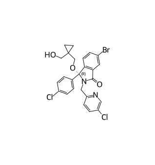 O=C1c2cc(Br)ccc2[C@](OCC2(CO)CC2)(c2ccc(Cl)cc2)N1Cc1ccc(Cl)cn1